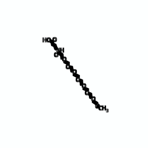 COCCOCCOCCOCCOCCOCCOCCOCCC(=O)NCCCC(=O)O